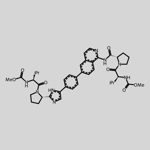 COC(=O)N[C@H](C(=O)N1CCC[C@H]1C(=O)Nc1nccc2cc(-c3ccc(-c4cnc([C@@H]5CCCN5C(=O)[C@@H](NC(=O)OC)C(C)C)[nH]4)cc3)ccc12)C(C)C